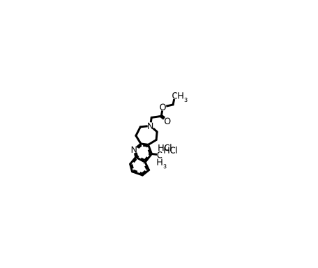 CCOC(=O)CN1CCc2nc3ccccc3c(C)c2CC1.Cl.Cl